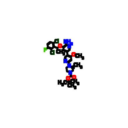 COc1cc(N2CCN(C(=O)OC(C)(C)C)C[C@@H]2C)ncc1-c1cnc(N)c(OC(C)c2c(Cl)ccc(F)c2Cl)c1